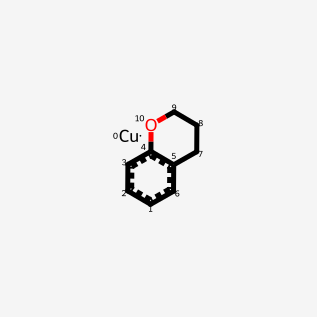 [Cu].c1ccc2c(c1)CCCO2